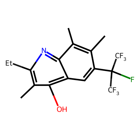 CCc1nc2c(C)c(C)c(C(F)(C(F)(F)F)C(F)(F)F)cc2c(O)c1C